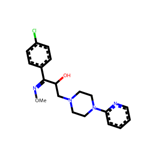 CO/N=C(/c1ccc(Cl)cc1)C(O)CN1CCN(c2ccccn2)CC1